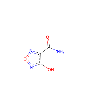 NC(=O)c1nonc1O